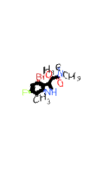 Cc1c(F)cc(Br)c2c(C(=O)C(=O)N(C)C)c[nH]c12